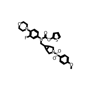 COc1ccc(S(=O)(=O)N2CC3C(CN(C(=O)Oc4cccs4)c4ccc(N5CCOCC5)c(F)c4)C3C2)cc1